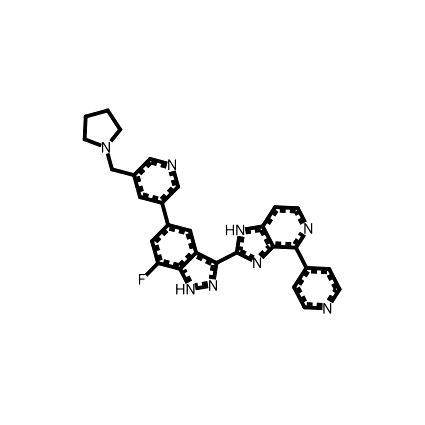 Fc1cc(-c2cncc(CN3CCCC3)c2)cc2c(-c3nc4c(-c5ccncc5)nccc4[nH]3)n[nH]c12